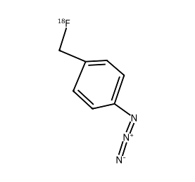 [N-]=[N+]=Nc1ccc(C[18F])cc1